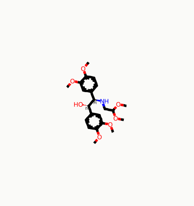 COc1ccc([C@@H](NCC(OC)OC)[C@@H](O)c2ccc(OC)c(OC)c2)cc1OC